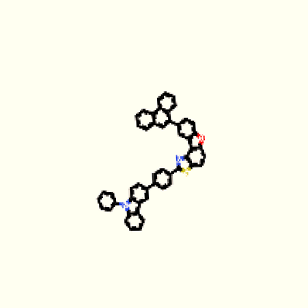 c1ccc(-n2c3ccccc3c3cc(-c4ccc(-c5nc6c(ccc7oc8ccc(-c9cc%10ccccc%10c%10ccccc9%10)cc8c76)s5)cc4)ccc32)cc1